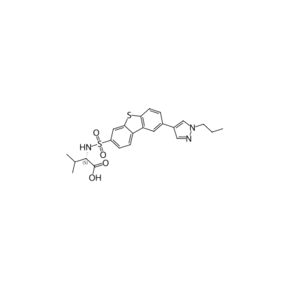 CCCn1cc(-c2ccc3sc4cc(S(=O)(=O)N[C@H](C(=O)O)C(C)C)ccc4c3c2)cn1